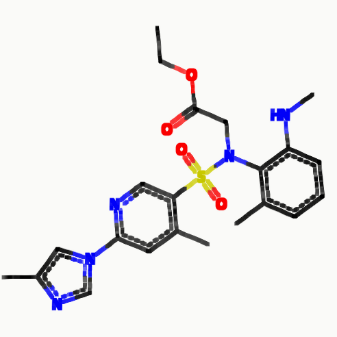 CCOC(=O)CN(c1c(C)cccc1NC)S(=O)(=O)c1cnc(-n2cnc(C)c2)cc1C